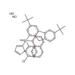 Cl.Cl.[CH2]=[Zr]([C]1=CC=CC1)([c]1cccc(Cl)c1)([c]1cc(C(C)(C)C)cc2c1Cc1ccc(C(C)(C)C)cc1-2)[c]1cccc2ccccc12